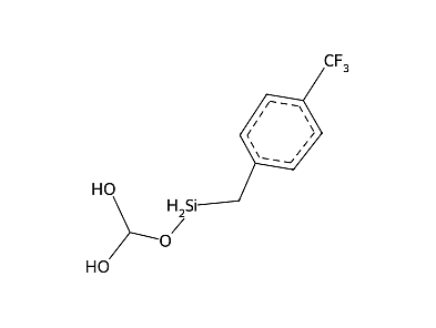 OC(O)O[SiH2]Cc1ccc(C(F)(F)F)cc1